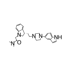 CN(C)C(=O)CN1C[C@@H](CCN2CCN(c3ccc4[nH]ccc4c3)CC2)c2ccccc21